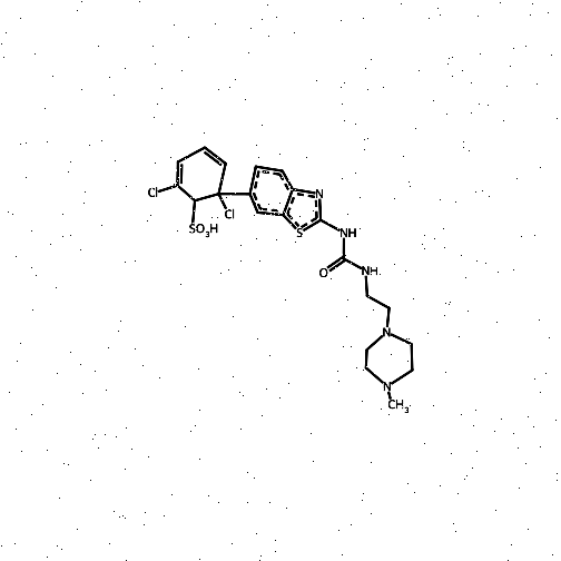 CN1CCN(CCNC(=O)Nc2nc3ccc(C4(Cl)C=CC=C(Cl)C4S(=O)(=O)O)cc3s2)CC1